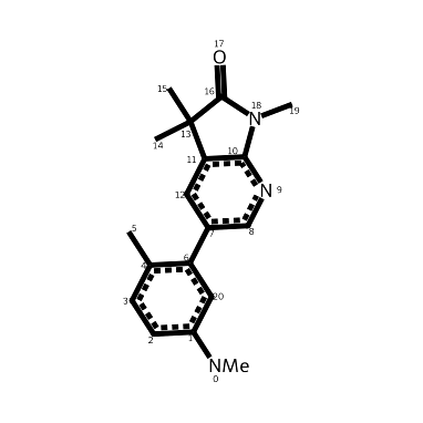 CNc1ccc(C)c(-c2cnc3c(c2)C(C)(C)C(=O)N3C)c1